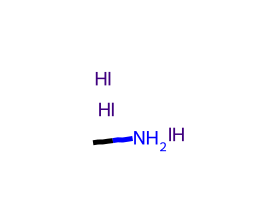 CN.I.I.I